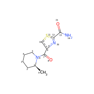 C[C@H]1CCCCN1C(=O)c1csc(C(N)=O)n1